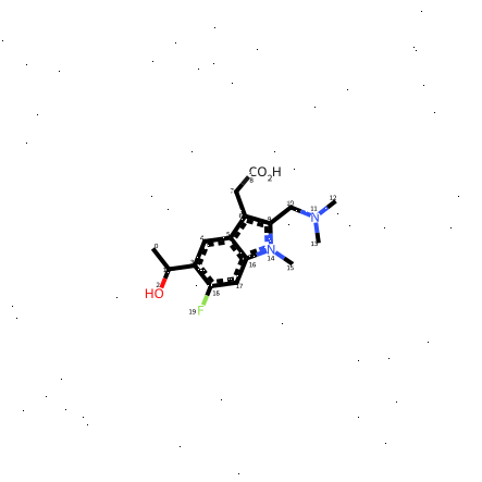 CC(O)c1cc2c(CC(=O)O)c(CN(C)C)n(C)c2cc1F